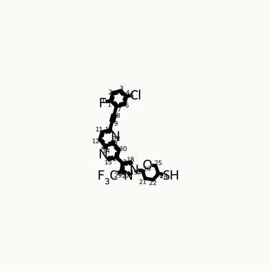 Fc1ccc(Cl)cc1C#Cc1ccc2ncc(-c3cn(C4CCC(S)CO4)nc3C(F)(F)F)cc2n1